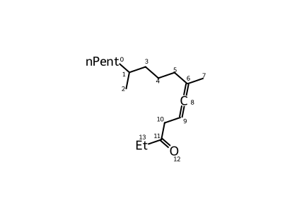 CCCCCC(C)CCCC(C)=C=CCC(=O)CC